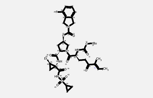 C/C=C(\C)C(=O)CC[C@H](NC(=O)OC(C)(C)C)C(=O)N1C[C@H](OC(=O)N2Cc3cccc(F)c3C2)C[C@H]1C(=O)N[C@]1(C(=O)NS(=O)(=O)C2CC2)C[C@H]1CC